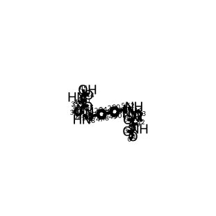 COC(=O)NC(C)(C)C(=O)N1C(C)CCC1c1nc(-c2ccc(-c3ccc(-c4c[nH]c([C@@H]5CC[C@H](C)N5C(=O)C(C)(C)NC(=O)O)n4)cc3)cc2)c[nH]1